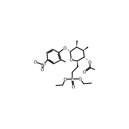 CCOP(=O)(CC[C@H]1O[C@H](Oc2ccc([N+](=O)[O-])cc2C)[C@@H](C)[C@@H](C)[C@@H]1OC(C)=O)OCC